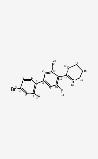 Fc1cc(Br)ccc1-c1cc(F)c(C2=[S+]CCCS2)c(F)c1